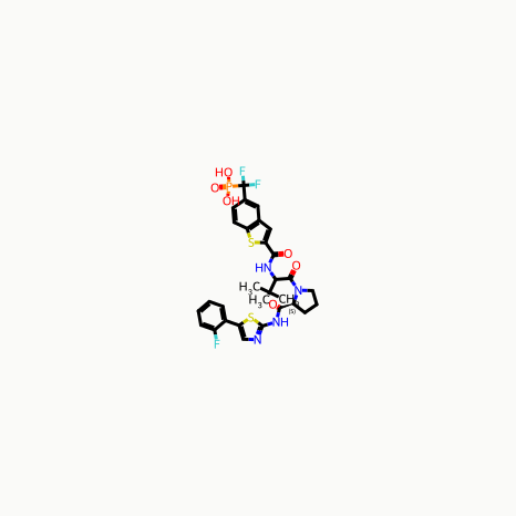 CC(C)(C)C(NC(=O)c1cc2cc(C(F)(F)P(=O)(O)O)ccc2s1)C(=O)N1CCC[C@H]1C(=O)Nc1ncc(-c2ccccc2F)s1